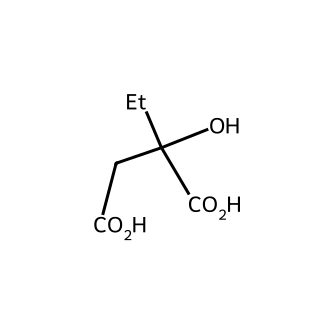 CCC(O)(CC(=O)O)C(=O)O